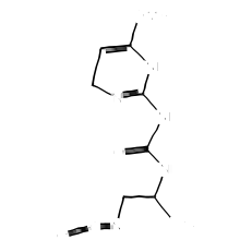 CCCCC(CN=C=O)NC(=O)NC1=NCC=C(OC)N1